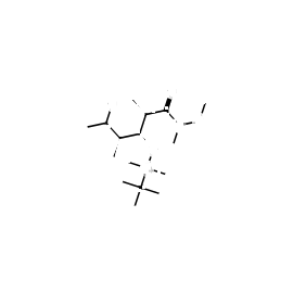 CON(C)C(=O)[C@H](C)[C@@H](O[Si](C)(C)C(C)(C)C)[C@@H](C)C(C)O